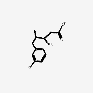 CC(Cc1cccc(Cl)c1)C(N)CC(=O)O